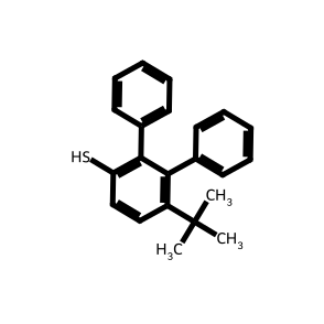 CC(C)(C)c1ccc(S)c(-c2ccccc2)c1-c1ccccc1